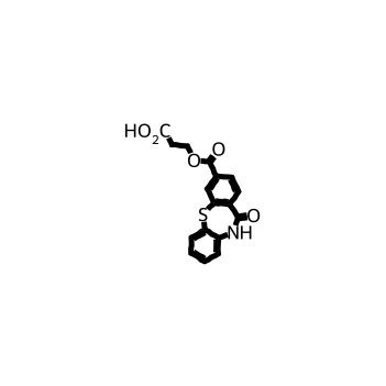 O=C(O)CCOC(=O)c1ccc2c(c1)Sc1ccccc1NC2=O